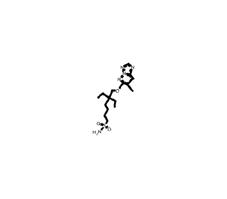 CCC(CC)(CCCCS(N)(=O)=O)COc1nn2ncnc2cc1C